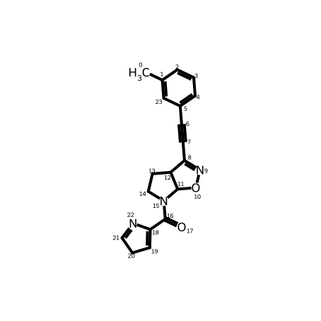 Cc1cccc(C#CC2=NOC3C2CCN3C(=O)C2=CCC=N2)c1